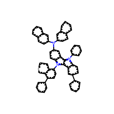 c1ccc(-c2ccc3c(c2)c2c(c4cc(N(c5ccc6ccccc6c5)c5ccc6ccccc6c5)ccc4n2-c2ccc(-c4ccccc4)c4ccccc24)n3-c2ccccc2)cc1